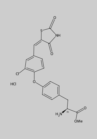 COC(=O)[C@@H](N)Cc1ccc(Oc2ccc(C=C3SC(=O)NC3=O)cc2Cl)cc1.Cl